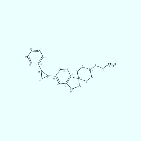 O=C(O)CCN1CCC2(CC1)COc1cc(C3CC3c3ccccc3)ccc12